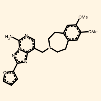 COc1cc2c(cc1OC)CCN(Cc1cnc(N)n3nc(-c4ccco4)nc13)CC2